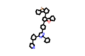 c1ccc(-c2nc(-c3ccc(-c4ccc(-c5cccc6sc7ccccc7c56)c5c4oc4ccccc45)cc3)cc(-c3cccc(-c4cccnc4)c3)n2)cc1